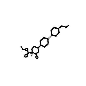 CCC[C@H]1CC[C@H](C2CCC(C3CC[C@](C)(C(=O)OCC)C(=O)C3)CC2)CC1